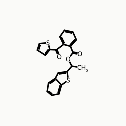 CC(OC(=O)c1ccccc1C(=O)c1cccs1)c1cc2ccccc2s1